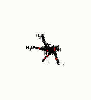 CCCCCCCCCCCC(O)CC(=O)NC1[C@H](OCC2OC(O)C(NC(=O)CC(O)CCCCCCCCCCC)[C@@H](OC(=O)CC(O)CCCCCCCCCCC)[C@@H]2O)OC(CO)C(OP(=O)(O)O)[C@@H]1OC(=O)CC(O)CCCCCCCCCCC